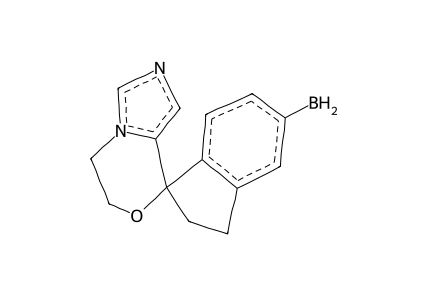 Bc1ccc2c(c1)CCC21OCCn2cncc21